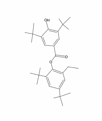 CCc1cc(C(C)(C)C)cc(C(C)(C)C)c1OC(=O)c1cc(C(C)(C)C)c(O)c(C(C)(C)C)c1